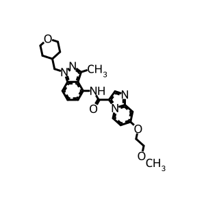 COCCOc1ccn2c(C(=O)Nc3cccc4c3c(C)nn4CC3CCOCC3)cnc2c1